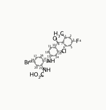 Cc1cc(F)ccc1C(=O)c1ccc(Nc2ccc(Br)cc2NC(=O)O)cc1Cl